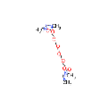 C=N/C=C\N(C)C(=O)OCCOCCOCCOCCOCCOC(=O)N(C)/C=C\N=C